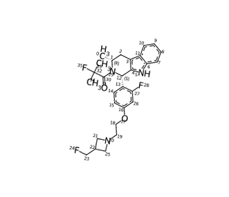 C[C@@H]1Cc2c([nH]c3ccccc23)[C@H](c2ccc(OCCN3CC(CF)C3)cc2F)N1C(=O)C(C)(C)F